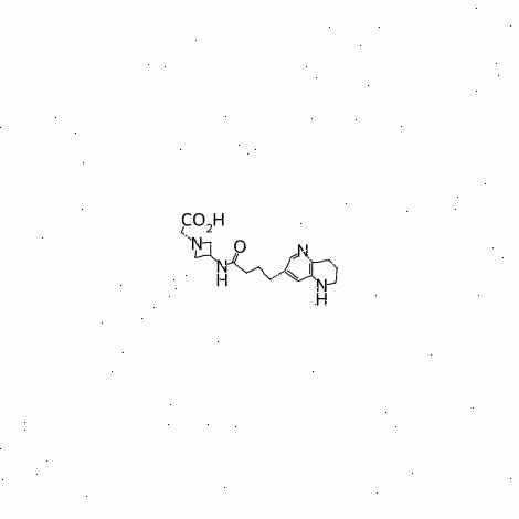 O=C(O)CN1CC(NC(=O)CCCc2cnc3c(c2)NCCC3)C1